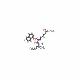 COCC(C)NC(=O)/C(=C/CCCCC(=O)OC)COc1cccc2ccccc12